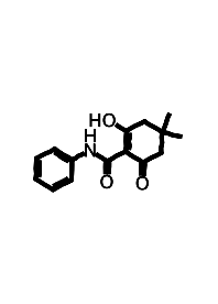 CC1(C)CC(=O)C(C(=O)Nc2ccccc2)=C(O)C1